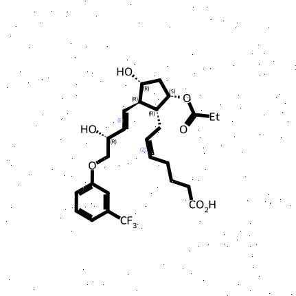 CCC(=O)O[C@H]1C[C@@H](O)[C@H](/C=C/[C@@H](O)COc2cccc(C(F)(F)F)c2)[C@H]1C/C=C\CCCC(=O)O